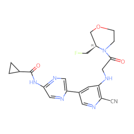 N#Cc1ncc(-c2cnc(NC(=O)C3CC3)cn2)cc1NCC(=O)N1CCOC[C@@H]1CF